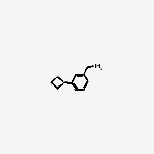 NCc1cccc([C]2CCC2)c1